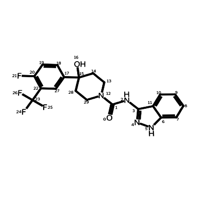 O=C(Nc1n[nH]c2ccccc12)N1CCC(O)(c2ccc(F)c(C(F)(F)F)c2)CC1